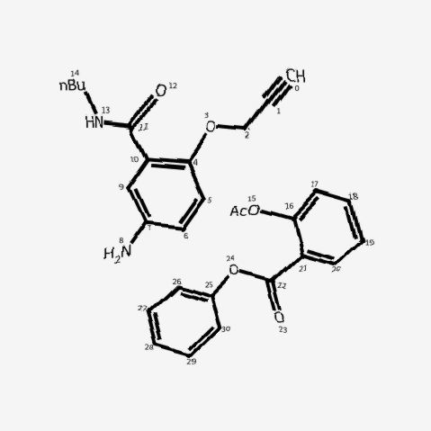 C#C[CH]Oc1ccc(N)cc1C(=O)NCCCC.CC(=O)Oc1ccccc1C(=O)Oc1ccccc1